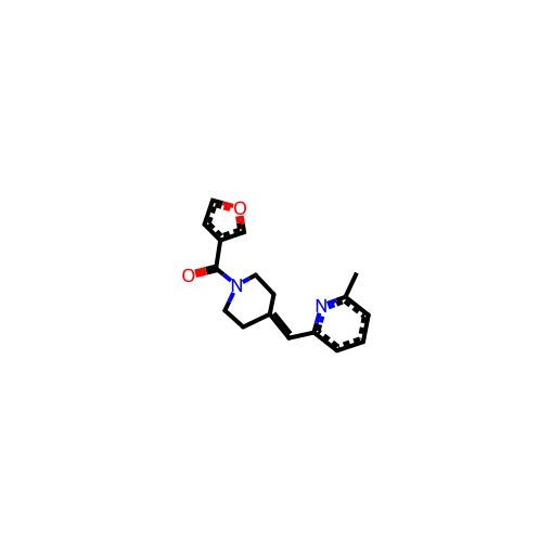 Cc1cccc(C=C2CCN(C(=O)c3ccoc3)CC2)n1